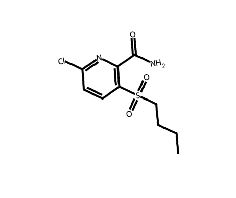 CCCCS(=O)(=O)c1ccc(Cl)nc1C(N)=O